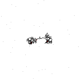 C[C@@H]1CC[C@H]2[C@@H](C)[C@](OCCCSCCCO[C@@]3(C(F)(F)F)O[C@@H]4O[C@]5(C)CC[C@H]6[C@H](C)CC[C@@H]([C@H]3C)[C@@]46OO5)(C(F)(F)F)O[C@@H]3O[C@]4(C)CC[C@@H]1[C@]32OO4